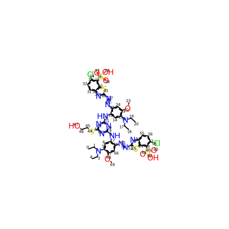 CCN(CC)c1cc(Nc2nc(Nc3cc(N(CC)CC)c(OC)cc3/N=N/c3nc4ccc(Cl)c(S(=O)(=O)O)c4s3)nc(SCCO)n2)c(/N=N/c2nc3ccc(Cl)c(S(=O)(=O)O)c3s2)cc1OC